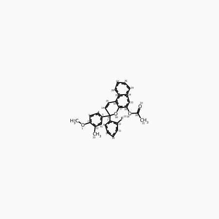 COc1ccc(C2(c3ccccc3F)C=Cc3c(c(OC(C)=O)cc4ccccc34)O2)cc1C